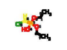 CCOP(O)(OCC)=[SH]Cl